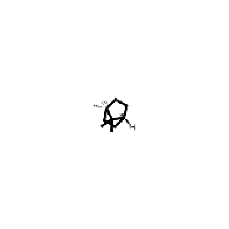 CC1(C)[C@@H]2C[CH][C@]1(C)CC2